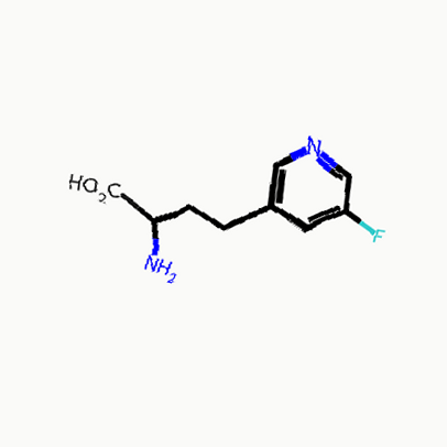 NC(CCc1cncc(F)c1)C(=O)O